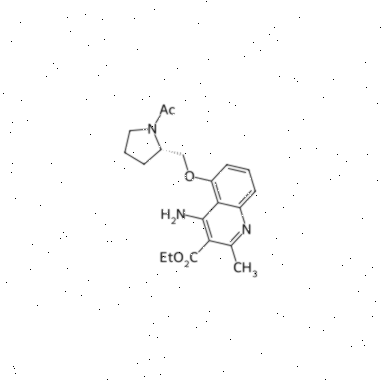 CCOC(=O)c1c(C)nc2cccc(OC[C@@H]3CCCN3C(C)=O)c2c1N